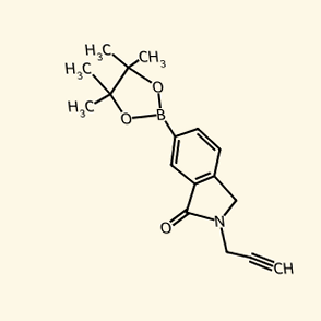 C#CCN1Cc2ccc(B3OC(C)(C)C(C)(C)O3)cc2C1=O